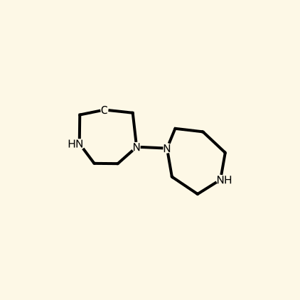 C1CNCCN(N2CCCNCC2)C1